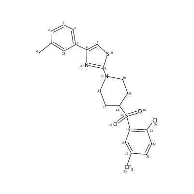 Cc1cccc(-c2csc(N3CCC(S(=O)(=O)c4cc(C(F)(F)F)ccc4Cl)CC3)n2)c1